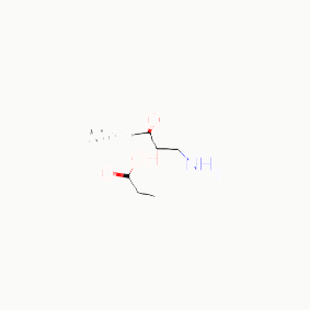 CCC(=O)O.COC(=O)CCN